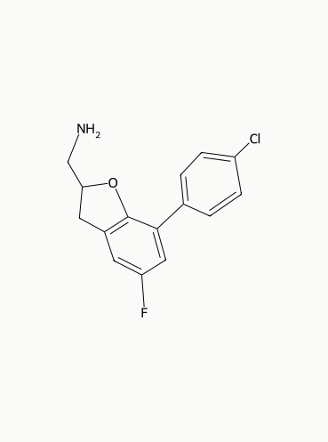 NCC1Cc2cc(F)cc(-c3ccc(Cl)cc3)c2O1